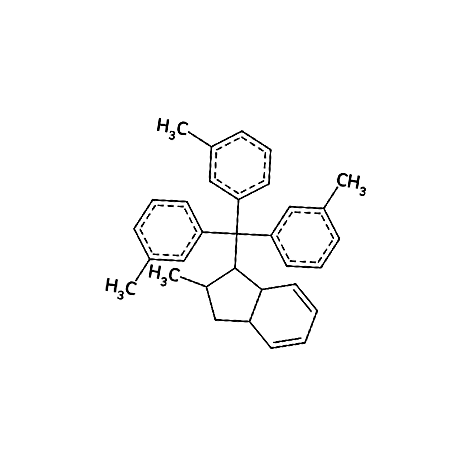 Cc1cccc(C(c2cccc(C)c2)(c2cccc(C)c2)C2C(C)CC3C=CC=CC32)c1